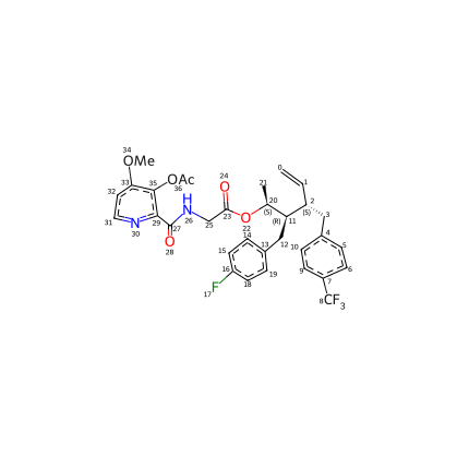 C=C[C@H](Cc1ccc(C(F)(F)F)cc1)[C@@H](Cc1ccc(F)cc1)[C@H](C)OC(=O)CNC(=O)c1nccc(OC)c1OC(C)=O